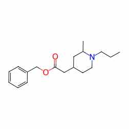 CCCN1CCC(CC(=O)OCc2ccccc2)CC1C